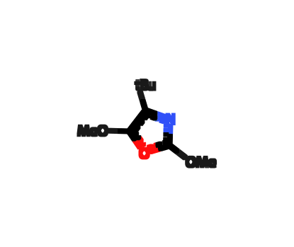 COc1nc(C(C)(C)C)c(OC)o1